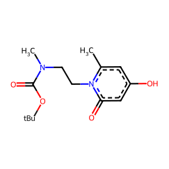 Cc1cc(O)cc(=O)n1CCN(C)C(=O)OC(C)(C)C